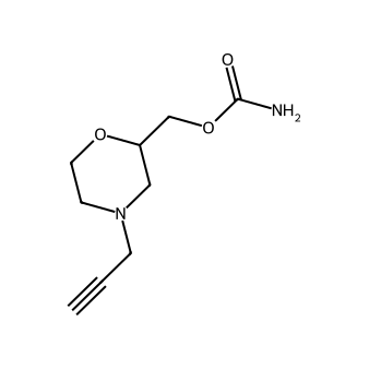 C#CCN1CCOC(COC(N)=O)C1